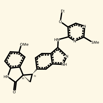 CCOc1cnc(SC)nc1Nc1n[nH]c2cc([C@@H]3C[C@@]34C(=O)Nc3ccc(OC)cc34)ccc12